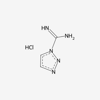 Cl.N=C(N)n1ccnn1